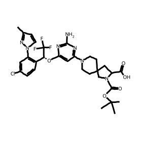 Cc1ccn(-c2cc(Cl)ccc2[C@@H](Oc2cc(N3CCC4(CC3)CC(C(=O)O)N(C(=O)OC(C)(C)C)C4)nc(N)n2)C(F)(F)F)n1